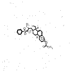 CC(=O)O[C@H]1CC[C@]2(C)C(=CC=C3[C@H]4CC[C@@H]([C@H](C)CS(=O)(=O)c5ccccc5)[C@]4(C)CC[C@@H]32)C1